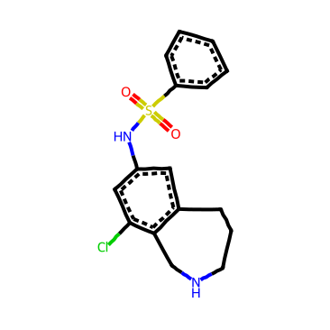 O=S(=O)(Nc1cc(Cl)c2c(c1)CCCNC2)c1ccccc1